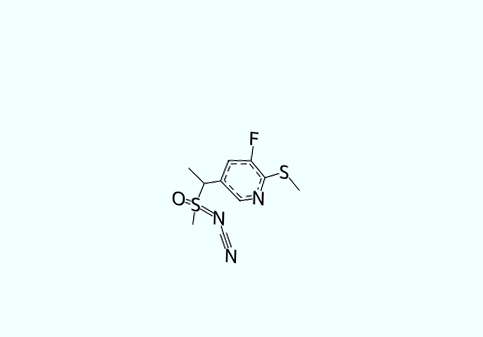 CSc1ncc(C(C)S(C)(=O)=NC#N)cc1F